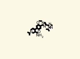 CC(C)N1CC=C(c2ccc3c(c2)OCCn2cc(-c4ncnn4C(C)C)nc2-3)C(C(N)=O)C1